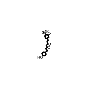 COc1cc(C=CC(=O)CC(=O)C=Cc2ccc(O)cc2)ccc1[N+](=O)[O-]